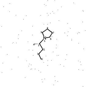 CCC[C@H](C)N1CCCC1